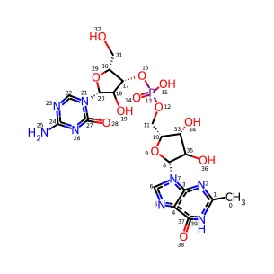 Cc1nc2c(ncn2[C@@H]2O[C@H](COP(=O)(O)O[C@@H]3C(O)[C@H](n4cnc(N)nc4=O)O[C@@H]3CO)[C@H](O)C2O)c(=O)[nH]1